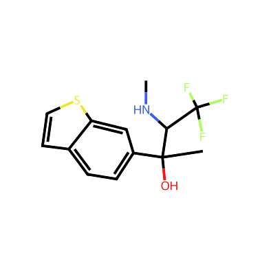 CNC(C(F)(F)F)C(C)(O)c1ccc2ccsc2c1